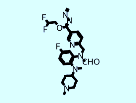 C=N/N=C(\OCC(F)F)c1ccc(CN(C=O)c2cc(F)ccc2N(C)C2CCN(C)CC2)nc1